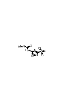 CNC(=O)Nc1nnc(S(=O)(=O)Cl)s1